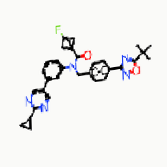 CC(C)(C)c1nc(C23CCC(CN(C(=O)C45CC(F)(C4)C5)c4cccc(-c5cnc(C6CC6)nc5)c4)(CC2)CC3)no1